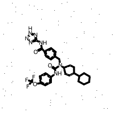 O=C(Nc1nn[nH]n1)c1ccc(CN(C(=O)Nc2ccc(OC(F)(F)F)cc2)C2CCC(C3CCCCC3)CC2)cc1